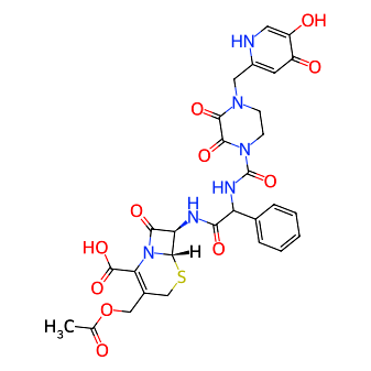 CC(=O)OCC1=C(C(=O)O)N2C(=O)[C@@H](NC(=O)C(NC(=O)N3CCN(Cc4cc(=O)c(O)c[nH]4)C(=O)C3=O)c3ccccc3)[C@@H]2SC1